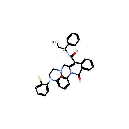 CC[C@H](NC(=O)c1c(CN2CCN(c3ccccc3F)CC2)n(-c2ccccc2)c(=O)c2ccccc12)c1ccccc1